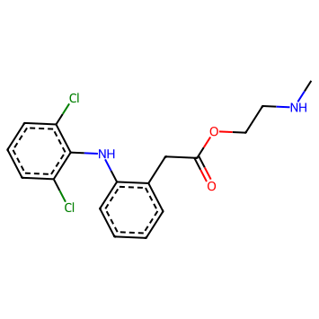 CNCCOC(=O)Cc1ccccc1Nc1c(Cl)cccc1Cl